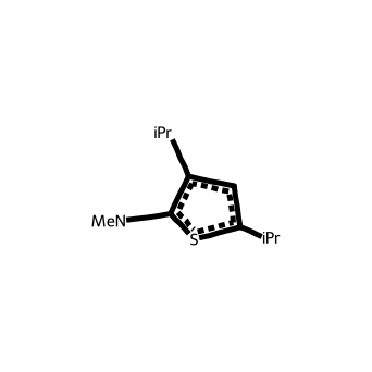 CNc1sc(C(C)C)cc1C(C)C